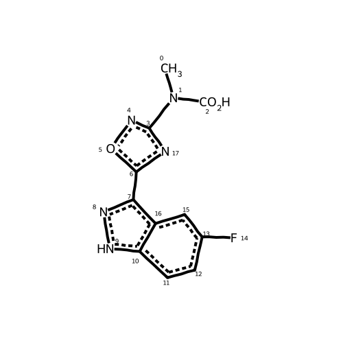 CN(C(=O)O)c1noc(-c2n[nH]c3ccc(F)cc23)n1